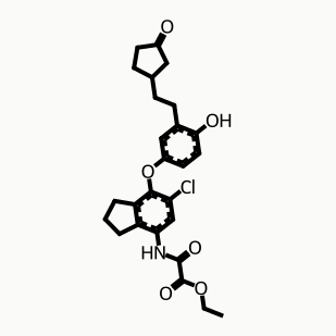 CCOC(=O)C(=O)Nc1cc(Cl)c(Oc2ccc(O)c(CCC3CCC(=O)C3)c2)c2c1CCC2